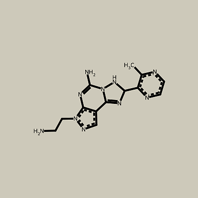 Cc1nccnc1C1N=C2c3cnn(CCN)c3N=C(N)N2N1